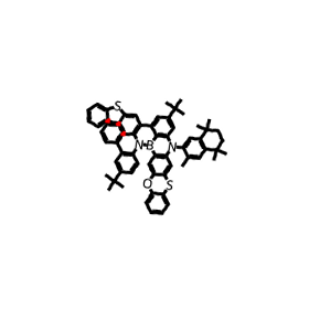 Cc1cc2c(cc1N1c3cc4c(cc3B3c5c(cc(C(C)(C)C)cc51)-c1cc5sc6ccccc6c5cc1N3c1ccc(C(C)(C)C)cc1-c1ccccc1)Oc1ccccc1S4)C(C)(C)CCC2(C)C